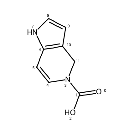 O=C(O)N1C=Cc2[nH]ccc2C1